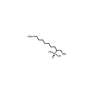 CCCCCCCCCCCCCCCCCC(CC(C)(C)C)P(=O)(O)O